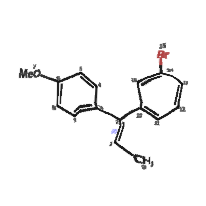 C/C=C(/c1ccc(OC)cc1)c1cccc(Br)c1